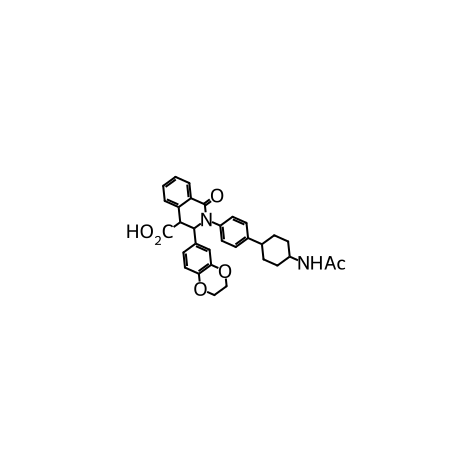 CC(=O)NC1CCC(c2ccc(N3C(=O)c4ccccc4C(C(=O)O)C3c3ccc4c(c3)OCCO4)cc2)CC1